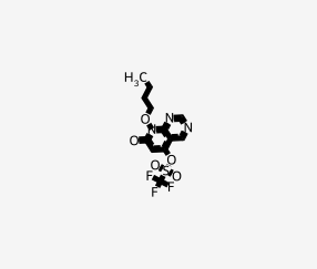 CCCCOn1c(=O)cc(OS(=O)(=O)C(F)(F)F)c2cncnc21